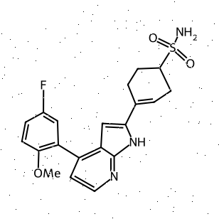 COc1ccc(F)cc1-c1ccnc2[nH]c(C3=CCC(S(N)(=O)=O)CC3)cc12